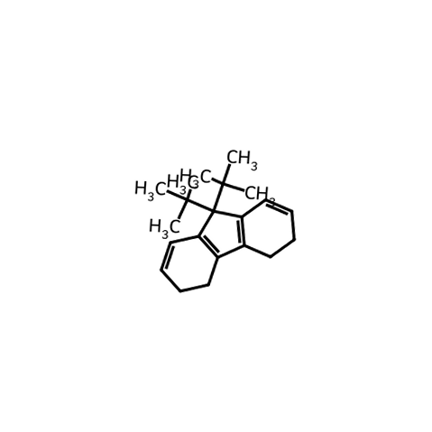 CC(C)(C)C1(C(C)(C)C)C2=C(CCC=C2)C2=C1C=CCC2